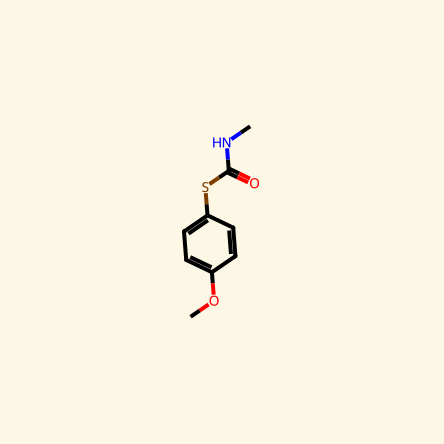 CNC(=O)Sc1ccc(OC)cc1